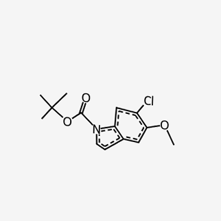 COc1cc2ccn(C(=O)OC(C)(C)C)c2cc1Cl